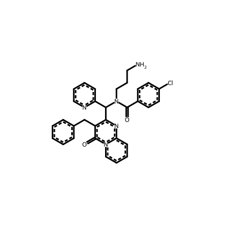 NCCCN(C(=O)c1ccc(Cl)cc1)C(c1ccccn1)c1nc2ccccn2c(=O)c1Cc1ccccc1